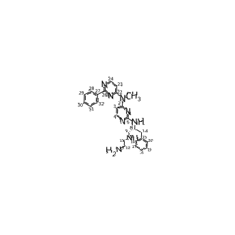 CN(c1ccnc(N[C@@H](CNCCN)Cc2ccccc2)n1)c1ccnc(-c2ccccc2)n1